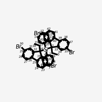 CCC1([Si](c2ccccc2)(c2ccccc2)C2(CC)c3cc(Br)ccc3-c3ccc(Br)cc32)c2cc(Br)ccc2-c2ccc(Br)cc21